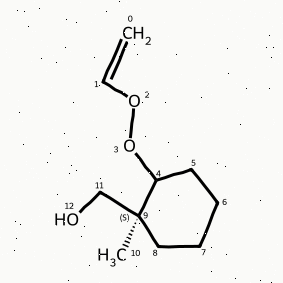 C=COOC1CCCC[C@@]1(C)CO